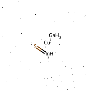 [Cu].[GaH3].[S]=[InH]